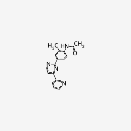 CC(=O)Nc1ccc(-c2nccc(-c3cccnc3)n2)cc1C